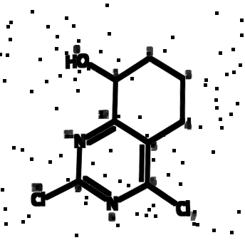 OC1CCCc2c(Cl)nc(Cl)nc21